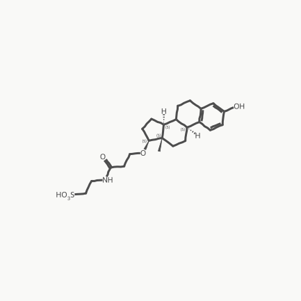 C[C@]12CC[C@@H]3c4ccc(O)cc4CCC3[C@@H]1CC[C@@H]2OCCC(=O)NCCS(=O)(=O)O